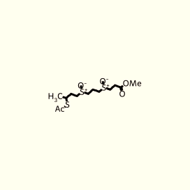 COC(=O)CC[S+]([O-])CCC[S+]([O-])CCC(C)SC(C)=O